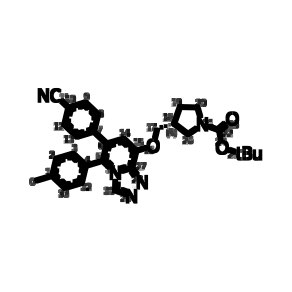 Cc1ccc(-c2c(-c3ccc(C#N)cc3)cc(OC[C@@H]3CCN(C(=O)OC(C)(C)C)C3)c3nncn23)cc1